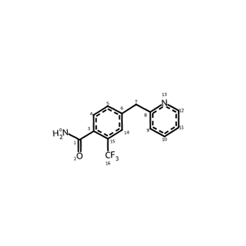 NC(=O)c1ccc(Cc2ccccn2)cc1C(F)(F)F